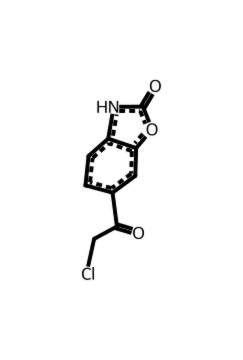 O=C(CCl)c1ccc2[nH]c(=O)oc2c1